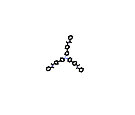 C/C(=C(/C)c1ccc(-c2ccc(N(c3ccc(-c4ccc(/C(C)=C(\C)c5ccccc5)cc4)cc3)c3ccc(-c4ccc(/C(C)=C(\C)c5ccccc5)cc4)cc3)cc2)cc1)c1ccccc1